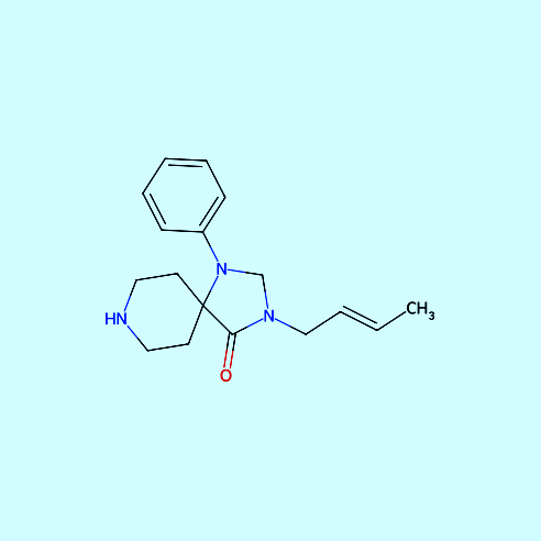 CC=CCN1CN(c2ccccc2)C2(CCNCC2)C1=O